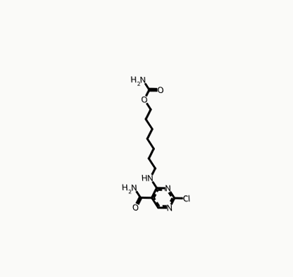 NC(=O)OCCCCCCCNc1nc(Cl)ncc1C(N)=O